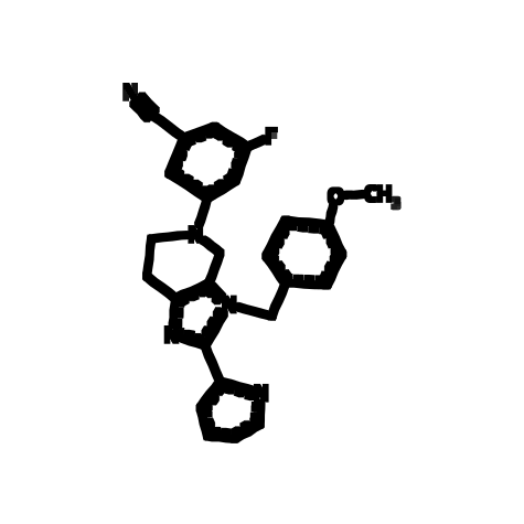 COc1ccc(Cn2c(-c3ccccn3)nc3c2CN(c2cc(F)cc(C#N)c2)CC3)cc1